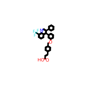 O=C(O)C=Cc1ccc(COc2cccc(-c3c(-c4ccccc4)cnc4c(C(F)(F)F)cccc34)c2)cc1